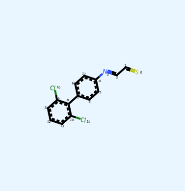 S=CC=Nc1ccc(-c2c(Cl)cccc2Cl)cc1